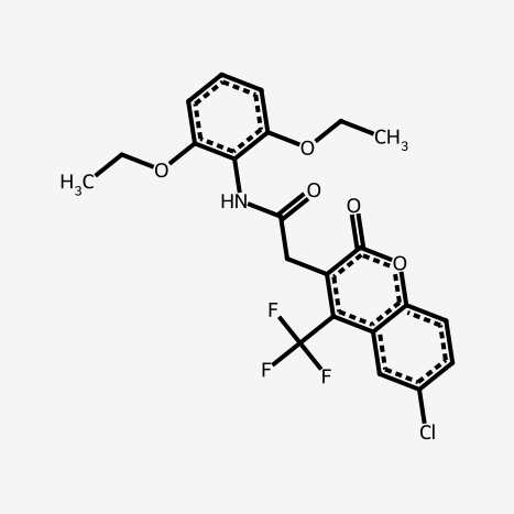 CCOc1cccc(OCC)c1NC(=O)Cc1c(C(F)(F)F)c2cc(Cl)ccc2oc1=O